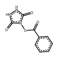 O=C(On1c(=O)[nH][nH]c1=O)c1ccccc1